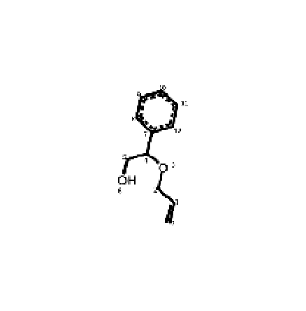 C=CCOC(CO)c1ccccc1